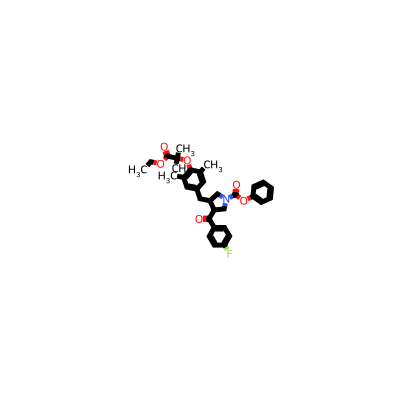 CCOC(=O)C(C)(C)Oc1c(C)cc(CC2CN(C(=O)Oc3ccccc3)CC2C(=O)c2ccc(F)cc2)cc1C